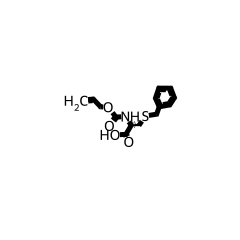 C=CCOC(=O)N[C@@H](CSCc1ccccc1)C(=O)O